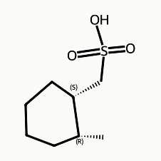 C[C@@H]1CCCC[C@@H]1CS(=O)(=O)O